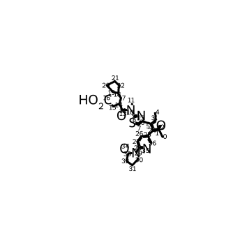 Cc1oc(C)c(-c2csc(N(C)C(=O)C(CC(=O)O)CC3CCCC3)n2)c1-c1ccc(N2CCCC2=O)nc1